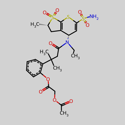 CCN(C(=O)CC(C)(C)c1ccccc1OC(=O)COC(C)=O)[C@H]1C=C(S(N)(=O)=O)SC2=C1C[C@H](C)S2(=O)=O